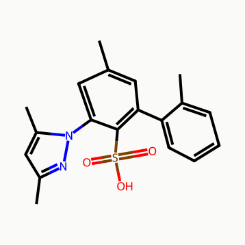 Cc1cc(-c2ccccc2C)c(S(=O)(=O)O)c(-n2nc(C)cc2C)c1